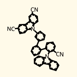 N#Cc1ccc2c(c1)c1cc(C#N)ccc1n2-c1cccc(-c2ccccc2-c2cccc(C#N)c2-n2c3ccccc3c3ccccc32)c1